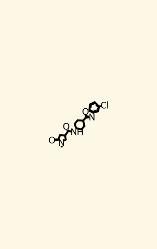 CN1CC(C(=O)NC2CCC(c3nc4cc(Cl)ccc4o3)CC2)CC1=O